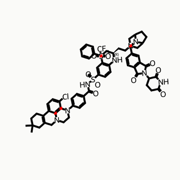 CC1(C)CCC(c2ccc(Cl)cc2)=C(CN2CCN(c3ccc(C(=O)NS(=O)(=O)c4ccc(N[C@H](CCN5CC6CCC(C5)N6Cc5ccc6c(c5)C(=O)N(C5CCC(=O)NC5=O)C6=O)CSc5ccccc5)c(S(=O)(=O)C(F)(F)F)c4)cc3)CC2)C1